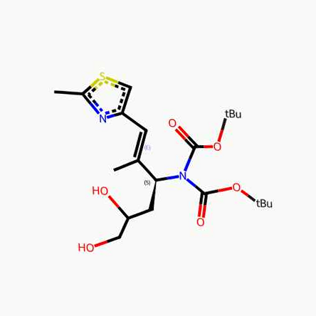 C/C(=C\c1csc(C)n1)[C@H](CC(O)CO)N(C(=O)OC(C)(C)C)C(=O)OC(C)(C)C